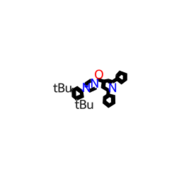 CC(C)(C)c1cc(N2CCN(C(=O)c3cc(-c4ccccc4)nc(-c4ccccc4)c3)CC2)cc(C(C)(C)C)c1